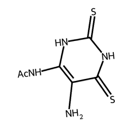 CC(=O)Nc1[nH]c(=S)[nH]c(=S)c1N